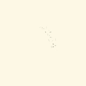 O=C(CO)NC[C@H]1CN(c2ccc([C@H]3[C@@H]4CSC[C@@H]43)c(F)c2)C(=O)O1